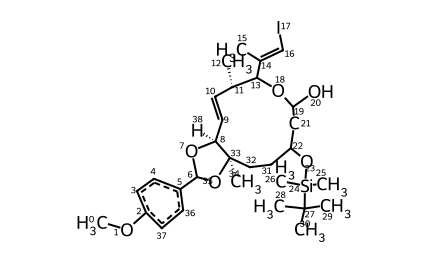 COc1ccc(C2O[C@H]3/C=C/[C@H](C)C(/C(C)=C/I)OC(O)CC(O[Si](C)(C)C(C)(C)C)CC[C@@]3(C)O2)cc1